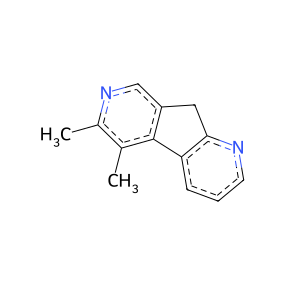 Cc1ncc2c(c1C)-c1cccnc1C2